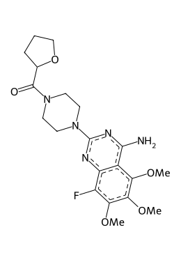 COc1c(OC)c(OC)c2c(N)nc(N3CCN(C(=O)C4CCCO4)CC3)nc2c1F